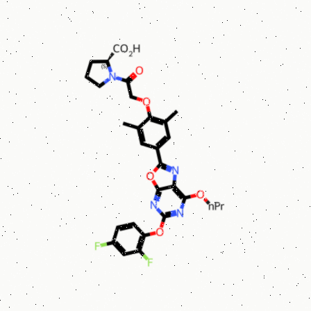 CCCOc1nc(Oc2ccc(F)cc2F)nc2oc(-c3cc(C)c(OCC(=O)N4CCC[C@H]4C(=O)O)c(C)c3)nc12